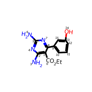 CCOC(=O)c1c(N)nc(N)nc1-c1cccc(O)c1